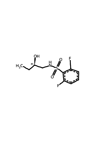 CC[C@@H](O)CNS(=O)(=O)c1c(F)cccc1F